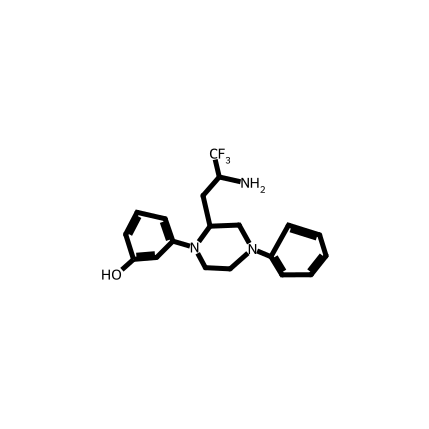 NC(CC1CN(c2ccccc2)CCN1c1cccc(O)c1)C(F)(F)F